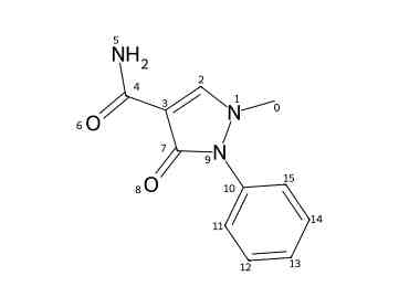 Cn1cc(C(N)=O)c(=O)n1-c1ccccc1